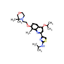 Cc1c(OCCN2CCOCC2(C)C)ccc2c(OC(C)C)cc(-c3csc(NC(C)C)n3)nc12